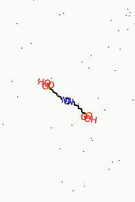 O=S(=O)(O)CCCCCCCN1CCN(CCCCCCCS(=O)(=O)O)CC1